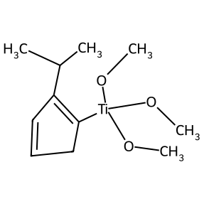 C[O][Ti]([O]C)([O]C)[C]1=C(C(C)C)C=CC1